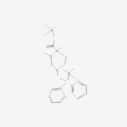 CC(C)(C)OC(=O)C1(N)CCC(O[Si](c2ccccc2)(c2ccccc2)C(C)(C)C)CC1N